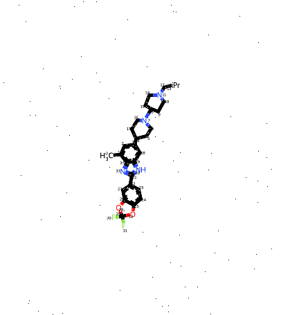 Cc1cc(C2CCN(C3CCN(CC(C)C)CC3)CC2)cc2[nH]c(-c3ccc4c(c3)OC(F)(F)O4)nc12